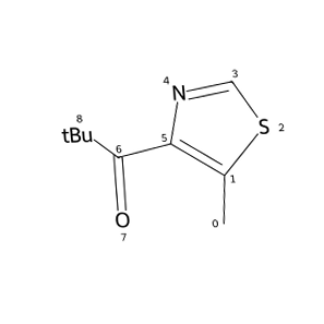 Cc1scnc1C(=O)C(C)(C)C